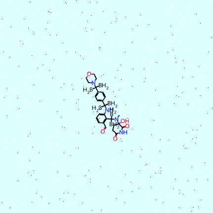 BC(B)(Nc1cccc(C=O)c1C(B)(B)N(C)C1(O)CCC(=O)NC1=O)c1ccc(C(B)(B)N2CCOCC2)cc1